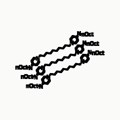 CCCCCCCCN=c1ccn(CCCCCCCCCCn2ccc(=NCCCCCCCC)cc2)cc1.CCCCCCCCN=c1ccn(CCCCCCCCCCn2ccc(=NCCCCCCCC)cc2)cc1.CCCCCCCCN=c1ccn(CCCCCCCCCCn2ccc(=NCCCCCCCC)cc2)cc1